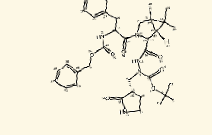 CC(C)(C)OC(=O)N(C[C@@H]1CCNC1=O)NC(=O)[C@@H]1[C@@H]2[C@H](CN1C(=O)C(Cc1ccccc1)NC(=O)OCc1ccccc1)C2(C)C